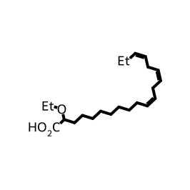 CC/C=C\C/C=C\C/C=C\CCCCCCCCC(OCC)C(=O)O